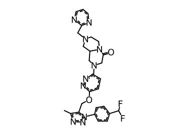 Cc1nnn(-c2ccc(C(F)F)cc2)c1COc1ccc(N2CC(=O)N3CCN(Cc4ncccn4)CC3C2)nn1